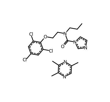 CCCN(CCOc1c(Cl)cc(Cl)cc1Cl)C(=O)n1ccnc1.Cc1cnc(C)c(C)n1